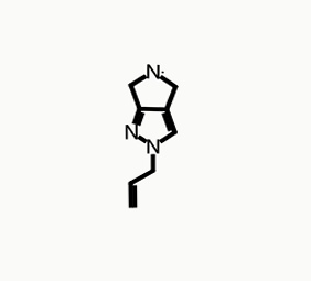 C=CCn1cc2c(n1)C[N]C2